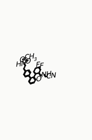 CS(=O)(=O)NCCc1ccc(-c2ccccc2C2CCC(F)(F)CC2C(=O)NCC#N)cc1